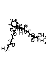 C=CC(=O)OCCOC(=O)NC1(CNC(=O)OCCOC(=O)C(=C)C)CCCCC1